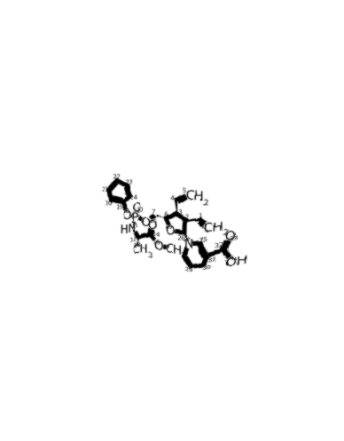 C=C[C@@H]1[C@H](C=C)[C@@H](COP(=O)(N[C@@H](C)C(=O)OC)Oc2ccccc2)O[C@H]1N1C=CCC(C(=O)O)=C1